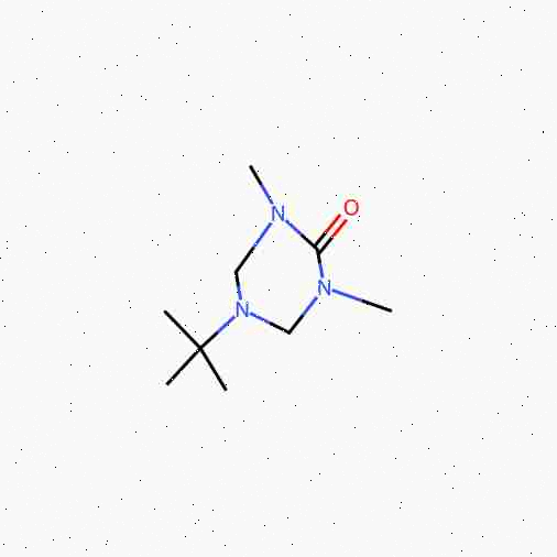 CN1CN(C(C)(C)C)CN(C)C1=O